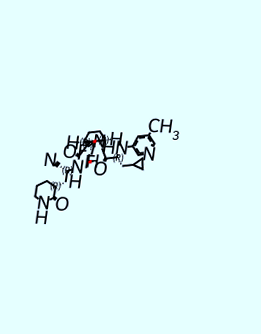 Cc1cncc(N[C@H](CC2CC2)C(=O)N2[C@@H]3CC[C@H]([C@@H]2C(=O)N[C@@H](C#N)C[C@H]2CCCNC2=O)C(F)(F)C3)c1